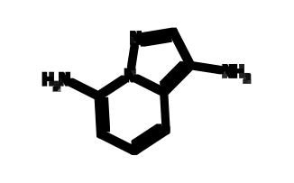 Nc1cnn2c(N)cccc12